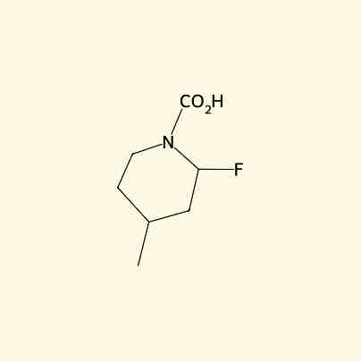 CC1CCN(C(=O)O)C(F)C1